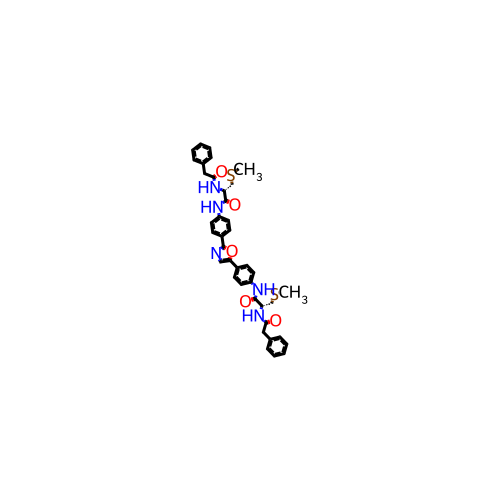 CSC[C@H](NC(=O)Cc1ccccc1)C(=O)Nc1ccc(-c2cnc(-c3ccc(NC(=O)[C@@H](CSC)NC(=O)Cc4ccccc4)cc3)o2)cc1